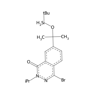 CC(C)n1nc(Br)c2ccc(C(C)(C)O[SiH2]C(C)(C)C)cc2c1=O